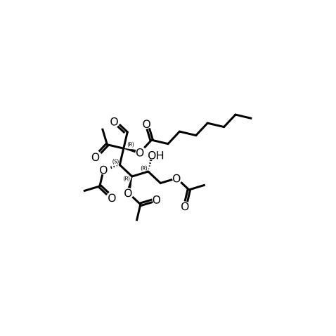 CCCCCCCC(=O)O[C@](C=O)(C(C)=O)[C@@H](OC(C)=O)[C@H](OC(C)=O)[C@H](O)COC(C)=O